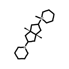 C[C@@]12CC(N3CCCCC3)C[C@]1(C)CC([N+]1(C)CCCCC1)C2